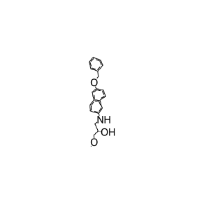 COC[C@@H](O)CNc1ccc2cc(OCc3ccccc3)ccc2c1